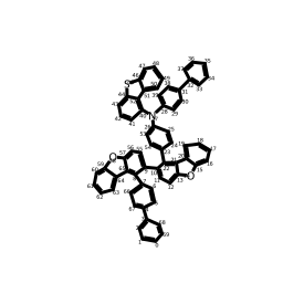 c1ccc(-c2ccc(-c3c(-c4ccc5oc6ccccc6c5c4-c4ccc(N(c5ccc(-c6ccccc6)cc5)c5cccc6sc7ccccc7c56)cc4)ccc4oc5ccccc5c34)cc2)cc1